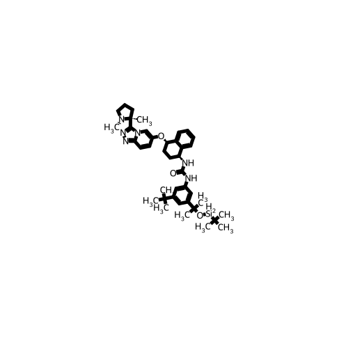 CN1CCC[C@@]1(C)c1nnc2ccc(O[C@@H]3CC[C@H](NC(=O)Nc4cc(C(C)(C)C)cc(C(C)(C)O[SiH2]C(C)(C)C)c4)c4ccccc43)cn12